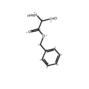 CCCCCCCC([C]=O)C(=O)OCc1ccccc1